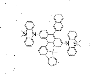 CC1(C)c2ccccc2-c2cccc(-c3c4ccc(N5c6ccccc6[Si](C)(C)c6ccccc65)cc4c(-c4ccc5ccccc5c4)c4ccc(N5c6ccccc6[Si](C)(C)c6ccccc65)cc34)c21